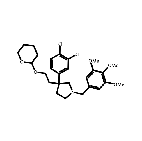 COc1cc(CN2CCC(CCOC3CCCCO3)(c3ccc(Cl)c(Cl)c3)C2)cc(OC)c1OC